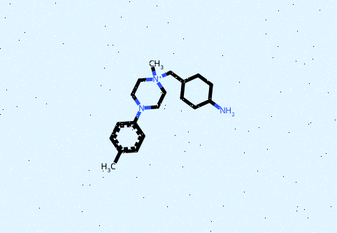 Cc1ccc(N2CC[N+](C)(CC3CCC(N)CC3)CC2)cc1